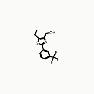 CCc1sc(-c2cccc(C(F)(F)F)c2)nc1CO